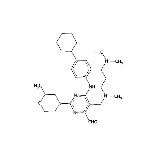 CC1CN(c2nc(C=O)c(CN(C)CCCN(C)C)c(Nc3ccc(C4CCCCC4)cc3)n2)CCO1